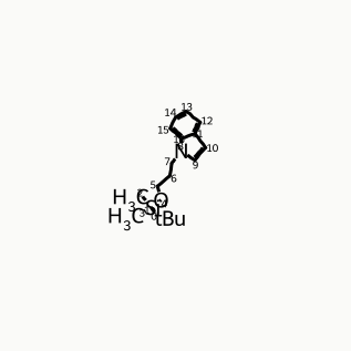 CC(C)(C)[Si](C)(C)OCCCn1ccc2ccccc21